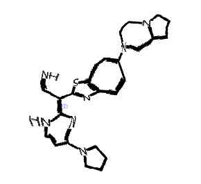 N=C/C(=C1/N=C(N2CCCC2)C=CN1)c1nc2ccc(N3CCN4CCCC4C3)cc2s1